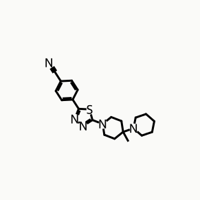 CC1(N2CCCCC2)CCN(c2nnc(-c3ccc(C#N)cc3)s2)CC1